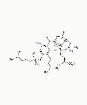 CC(C)=CCC[C@]1(C)C=Cc2c(O)c3c(c(CC=C(C)C)c2O1)O[C@@]12C(=C[C@@H]4CCC(C)(C)O[C@@]1(C/C=C(\C)C(=O)O)C2(C)C4=O)C3=O